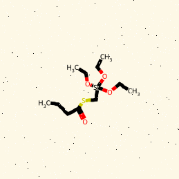 CCCC(=O)SC[Si](OCC)(OCC)OCC